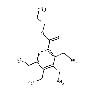 BCc1cc(C(=O)OCCS(=O)(=O)O)c(CB)c(CB)c1CB